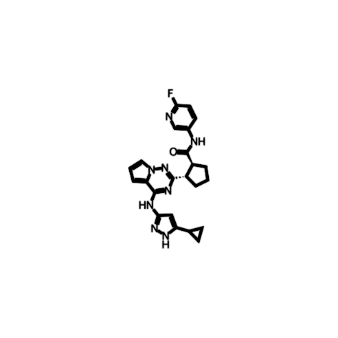 O=C(Nc1ccc(F)nc1)[C@H]1CCC[C@@H]1c1nc(Nc2cc(C3CC3)[nH]n2)c2cccn2n1